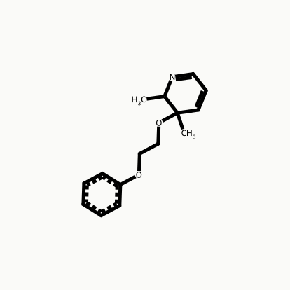 CC1N=CC=CC1(C)OCCOc1ccccc1